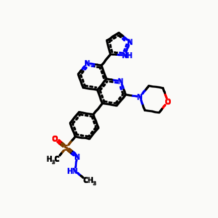 CNN=S(C)(=O)c1ccc(-c2cc(N3CCOCC3)nc3c(-c4ccn[nH]4)nccc23)cc1